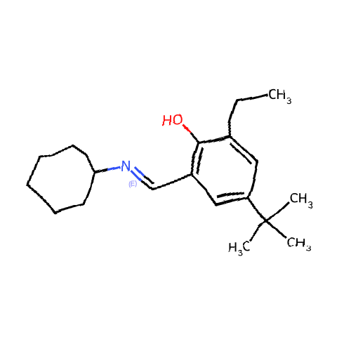 CCc1cc(C(C)(C)C)cc(/C=N/C2CCCCC2)c1O